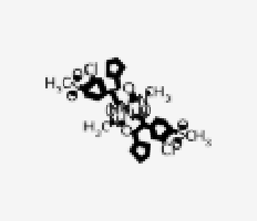 CNC(=O)N(C(=O)C(CC1CCCC1)c1ccc(S(C)(=O)=O)c(Cl)c1)N(C(=O)NC)C(=O)[C@H](CC1CCCC1)c1ccc(S(C)(=O)=O)c(Cl)c1